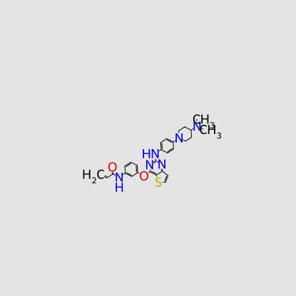 C=CC(=O)Nc1cccc(Oc2nc(Nc3ccc(N4CCC(N(C)C)CC4)cc3)nc3ccsc23)c1